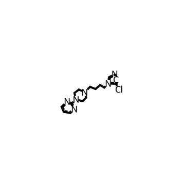 Clc1cncn1CCCCN1CCN(c2ncccn2)CC1